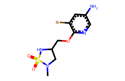 CN1CC(COc2ncc(N)cc2Br)NS1(=O)=O